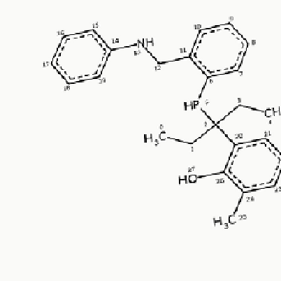 CCC(CC)(Pc1ccccc1CNc1ccccc1)c1cccc(C)c1O